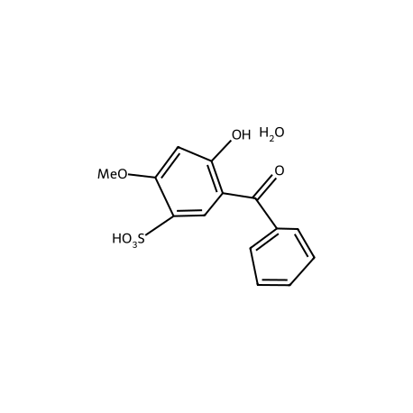 COc1cc(O)c(C(=O)c2ccccc2)cc1S(=O)(=O)O.O